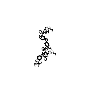 CCNC(=O)c1cc(Oc2ccc(NC(=O)c3nn(-c4cccc(OC(F)(F)F)c4)c(=O)cc3C)cc2)ccn1